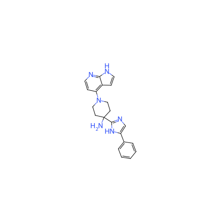 NC1(c2ncc(-c3ccccc3)[nH]2)CCN(c2ccnc3[nH]ccc23)CC1